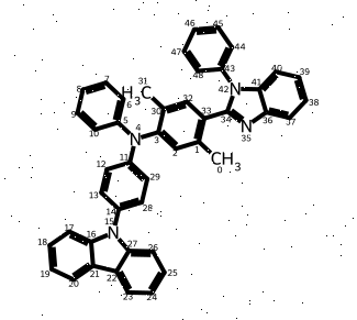 Cc1cc(N(c2ccccc2)c2ccc(-n3c4ccccc4c4ccccc43)cc2)c(C)cc1-c1nc2ccccc2n1-c1ccccc1